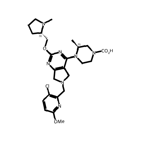 COc1ccc(Cl)c(CN2Cc3nc(OC[C@@H]4CCCN4C)nc(N4CCN(C(=O)O)C[C@@H]4C)c3C2)n1